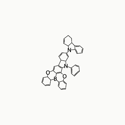 C1=CC2Oc3cc4c(c5c3B(c3ccccc3O5)C2C=C1)N(c1ccccc1)C1C=C(N2c3ccccc3C3CCC=CC32)C=CC41